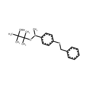 COC(C)(C)C(C)(C)OB(C)c1ccc(SCc2ccccc2)cc1